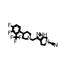 N#CN1CCc2c(CN3CCC(c4ccc(F)c(F)c4C(F)(F)F)CC3)n[nH]c2C1